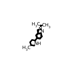 CC1CCC(c2ccc3nn(C(C)C)cc3c2)NC1